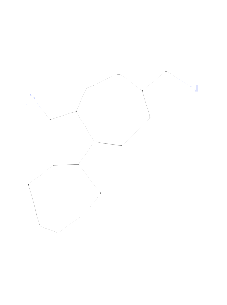 NCC1CCC(CN)C(C2CCCCCC2)CC1